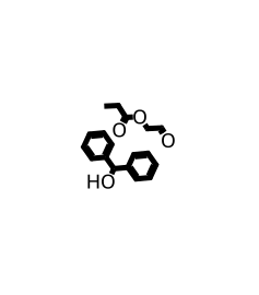 CCC(=O)OCC=O.OC(c1ccccc1)c1ccccc1